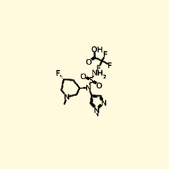 CN1C[C@H](F)C[C@@H](N(c2cnn(C)c2)S(N)(=O)=O)C1.O=C(O)C(F)(F)F